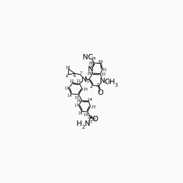 Cn1c(=O)cc(N(CC2CC2)c2cccc(-c3ccc(C(N)=O)cc3)c2)c2nc(C#N)ccc21